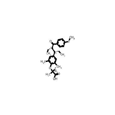 CC[C@H](C(=O)c1ccc(SC)cc1)[C@H](CC)c1cc(C)c(OC(C)(C)C(=O)O)c(C)c1